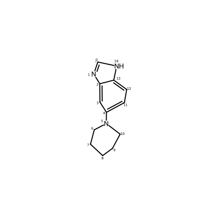 [c]1nc2cc(N3CCCCC3)ccc2[nH]1